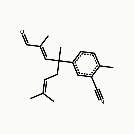 CC(C)=CCC(C)(C=C(C)C=O)c1ccc(C)c(C#N)c1